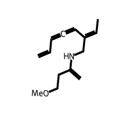 C=CC=C=C/C(=C\C)CNC(=C)CCOC